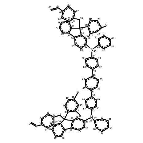 C=Cc1ccc(CC2(c3ccc(C)cc3C)c3ccccc3-c3ccc(N(c4ccccc4)c4ccc(-c5ccc(-c6ccc(N(c7ccccc7)c7ccc8c(c7)C(Cc7ccc(C=C)cc7)(c7ccc(C)cc7C)c7ccccc7-8)cc6)cc5)cc4)cc32)cc1